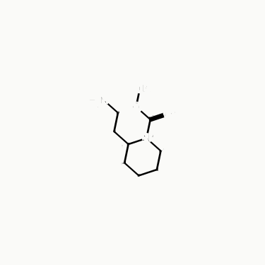 CC(C)(C)OC(=O)N1CCCCC1CCN